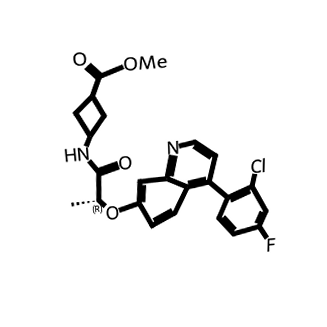 COC(=O)C1CC(NC(=O)[C@@H](C)Oc2ccc3c(-c4ccc(F)cc4Cl)ccnc3c2)C1